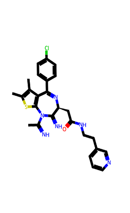 CC(=N)N1C(=N)[C@H](CC(=O)NCCc2cccnc2)N=C(c2ccc(Cl)cc2)c2c1sc(C)c2C